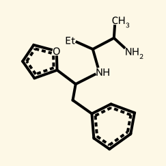 CCC(NC(Cc1ccccc1)c1ccco1)C(C)N